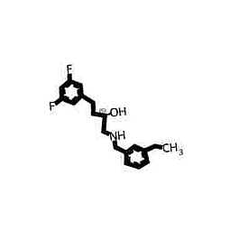 CCc1cccc(CNC[C@@H](O)CCc2cc(F)cc(F)c2)c1